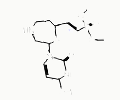 COP(=O)(/C=C/C1CCNCC(N2C=CC(O)NC2=O)O1)OC